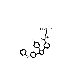 CN(C)CCNC(=O)c1cccc(-c2ccc(-c3ccc(Oc4ccccc4)cc3)n2-c2ccc(F)cc2)c1